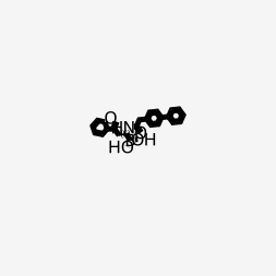 O=C(Cc1ccc(-c2ccccc2)cc1)N[C@H](CC1=COC2C=CC=CC12)B(O)O